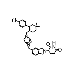 CC1(C)CCC(CN2CC3CC2CN3Cc2ccc3c(c2)CN(C2CCC(=O)NC2=O)C3)=C(c2ccc(Cl)cc2)C1